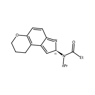 CCCN(C(=O)CC)[C@H]1C=c2c3c(ccc2=N1)OCCC3